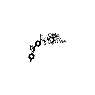 CCO[C@@H]1[C@@H](OC)[C@H](C)O[C@@H](OC(=S)Nc2ccc(-c3cn(-c4ccc(C)cc4)cn3)cc2)[C@@H]1OC